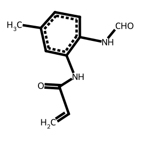 C=CC(=O)Nc1cc(C)ccc1NC=O